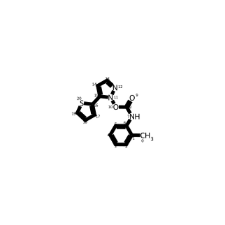 Cc1ccccc1NC(=O)On1nccc1-c1cccs1